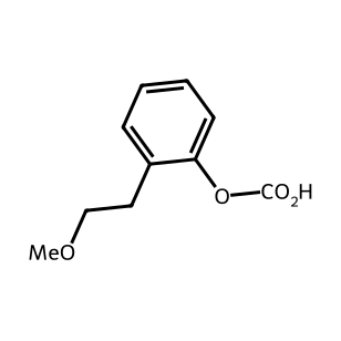 COCCc1ccccc1OC(=O)O